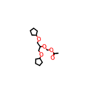 CC(=O)OCOC(COC1CCCC1)COC1CCCC1